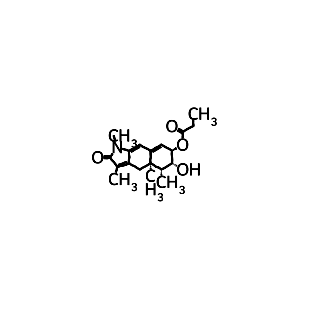 CCC(=O)O[C@@H]1C=C2C=C3C(=C(C)C(=O)N3C)C[C@]2(C)[C@@H](C)[C@H]1O